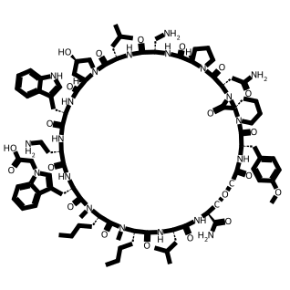 CCCC[C@H]1C(=O)N(C)[C@@H](CCCC)C(=O)N[C@@H](CC(C)C)C(=O)N[C@H](C(N)=O)COCC(=O)N[C@@H](Cc2ccc(OC)cc2)C(=O)N2CCCC[C@@]23C(=O)N3[C@@H](CC(N)=O)C(=O)N2CCC[C@H]2C(=O)N[C@@H](CN)C(=O)N[C@@H](CC(C)C)C(=O)N2C[C@H](O)C[C@H]2C(=O)N[C@@H](Cc2c[nH]c3ccccc23)C(=O)N[C@@H](CCN)C(=O)N[C@@H](Cc2cn(CC(=O)O)c3ccccc23)C(=O)N1C